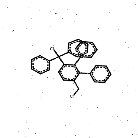 ClCc1ccc(C(Cl)(c2ccccc2)c2ccccc2)c(-c2ccccc2)c1-c1ccccc1